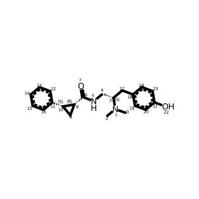 CN(C)[C@H](CNC(=O)[C@@H]1C[C@@H]1c1ccccc1)Cc1ccc(O)cc1